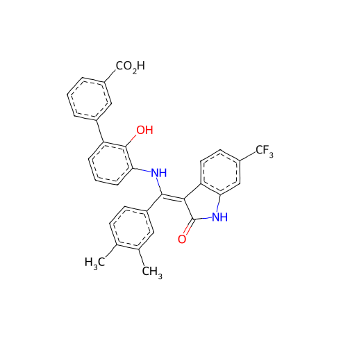 Cc1ccc(C(Nc2cccc(-c3cccc(C(=O)O)c3)c2O)=C2C(=O)Nc3cc(C(F)(F)F)ccc32)cc1C